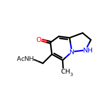 CC(=O)NCc1c(C)n2c(cc1=O)CCN2